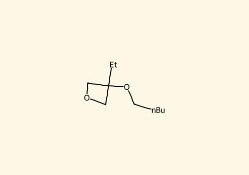 CCCCCOC1(CC)COC1